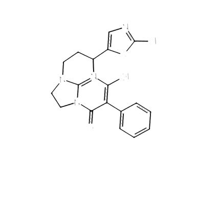 O=c1c(-c2ccccc2)c(O)[n+]2c3n1CCN3CCC2c1cnc(Cl)s1